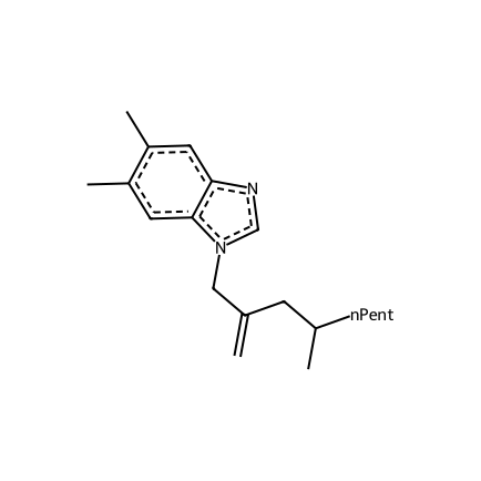 C=C(CC(C)CCCCC)Cn1cnc2cc(C)c(C)cc21